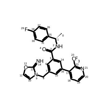 C[C@H](NC(=O)c1cc(Cn2ccoc2=N)cc(-c2cccnc2C(F)(F)F)c1)c1ccc(F)cc1